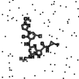 CNc1cc(Nc2cc(Cl)cn(-c3ccn(C)n3)c2=O)nc2c(C(=O)N[C@H]3C[C@H]3F)cnn12